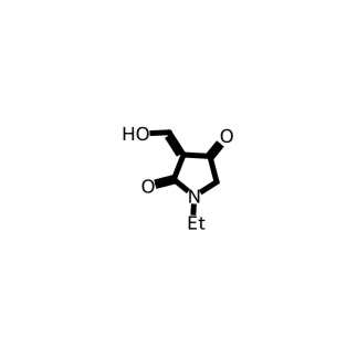 CCN1CC(=O)/C(=C/O)C1=O